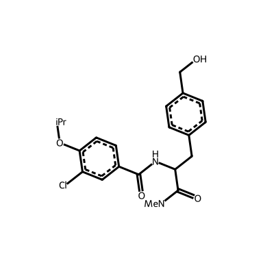 CNC(=O)C(Cc1ccc(CO)cc1)NC(=O)c1ccc(OC(C)C)c(Cl)c1